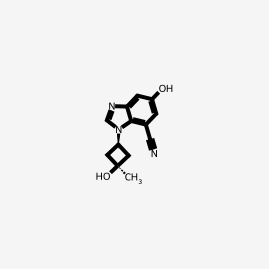 C[C@]1(O)C[C@@H](n2cnc3cc(O)cc(C#N)c32)C1